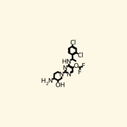 CC(Nc1nc(N2CCC(N)C(O)C2)ncc1OC(F)F)c1ccc(Cl)cc1Cl